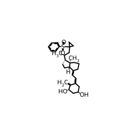 C=C1/C(=C\C=C2/CCC[C@]3(C)[C@@H]([C@H](C)CC4(S(=O)(=O)c5ccccc5)CC4)CC[C@@H]23)C[C@@H](O)C[C@@H]1O